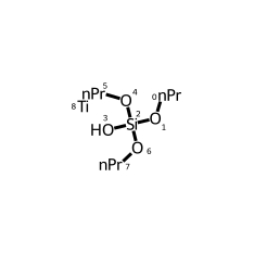 CCCO[Si](O)(OCCC)OCCC.[Ti]